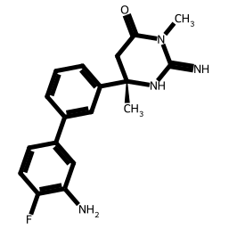 CN1C(=N)N[C@](C)(c2cccc(-c3ccc(F)c(N)c3)c2)CC1=O